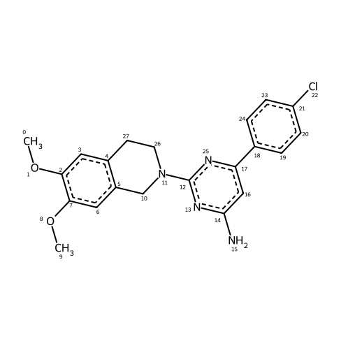 COc1cc2c(cc1OC)CN(c1nc(N)cc(-c3ccc(Cl)cc3)n1)CC2